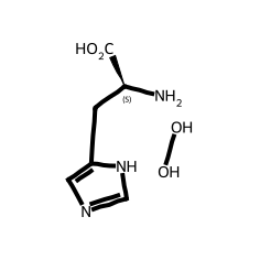 N[C@@H](Cc1cnc[nH]1)C(=O)O.OO